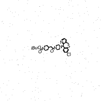 CC(C)COC(=O)N1CCC(CC(=O)N2CCN(C3c4ccc(Cl)cc4SCc4cccnc43)CC2)CC1